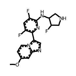 COc1ccn2c(-c3nc(NC4CNCC4F)c(F)cc3F)cnc2c1